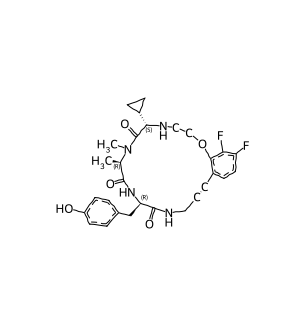 C[C@@H]1C(=O)N[C@H](Cc2ccc(O)cc2)C(=O)NCCCc2ccc(F)c(F)c2OCCN[C@@H](C2CC2)C(=O)N1C